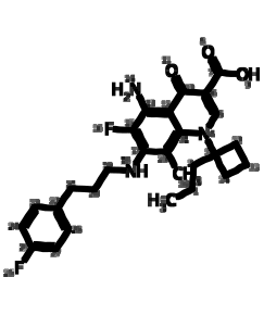 CCCC1(n2cc(C(=O)O)c(=O)c3c(N)c(F)c(NCCCc4ccc(F)cc4)c(C)c32)CCC1